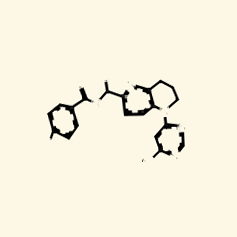 COc1cc(N2CCCc3nc(C(C)NC(=O)c4ccc(F)cc4)ccc32)ncn1